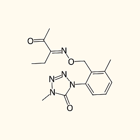 CCC(=NOCc1c(C)cccc1-n1nnn(C)c1=O)C(C)=O